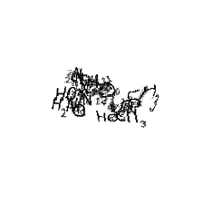 Cc1cc([C@](C)(O)C#Cc2ccc3c(c2)-c2nc(C(N)=O)c(C(O)c4ccnn4C)n2C2C=C3C2)no1